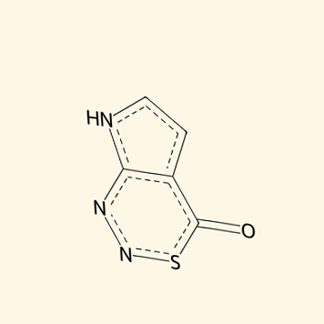 O=c1snnc2[nH]ccc12